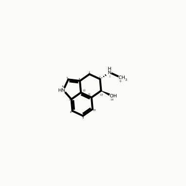 CN[C@H]1Cc2c[nH]c3cccc(c23)[C@@H]1O